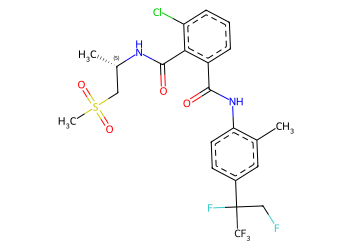 Cc1cc(C(F)(CF)C(F)(F)F)ccc1NC(=O)c1cccc(Cl)c1C(=O)N[C@@H](C)CS(C)(=O)=O